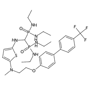 CCNP(=O)(NCC)C(Nc1ccc(N(C)CCOc2ccc(-c3ccc(C(F)(F)F)cc3)cc2)s1)P(=O)(NCC)NCC